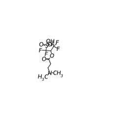 CN(C)CCC(=O)OC(C(F)(F)F)C(F)(F)S(=O)(=O)O